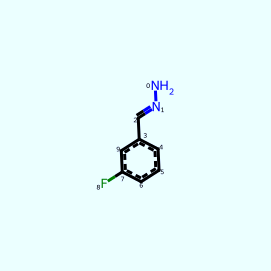 NN=Cc1cccc(F)c1